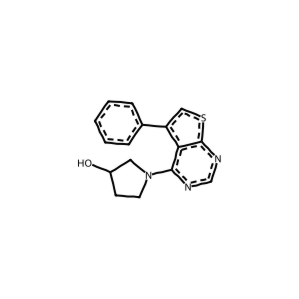 OC1CCN(c2ncnc3scc(-c4ccccc4)c23)C1